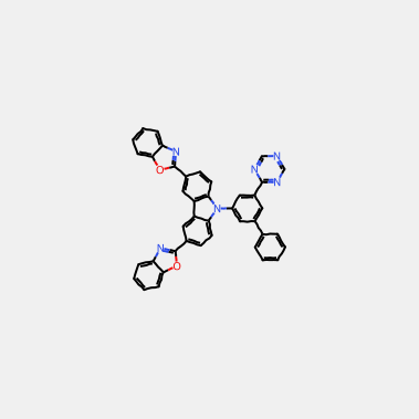 c1ccc(-c2cc(-c3ncncn3)cc(-n3c4ccc(-c5nc6ccccc6o5)cc4c4cc(-c5nc6ccccc6o5)ccc43)c2)cc1